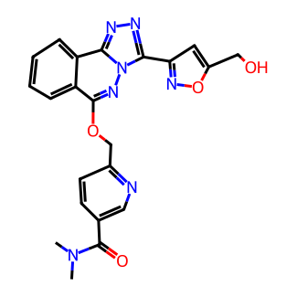 CN(C)C(=O)c1ccc(COc2nn3c(-c4cc(CO)on4)nnc3c3ccccc23)nc1